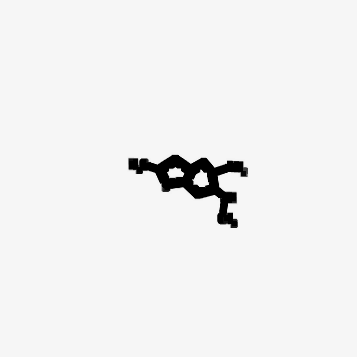 CNc1cc2sc(C)cc2cc1N